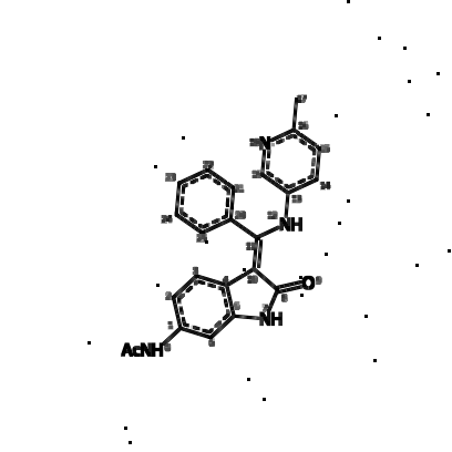 CC(=O)Nc1ccc2c(c1)NC(=O)/C2=C(\Nc1ccc(C)nc1)c1ccccc1